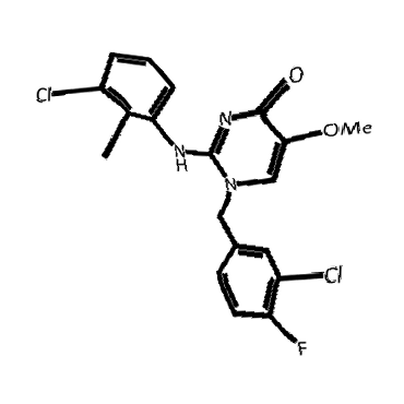 COc1cn(Cc2ccc(F)c(Cl)c2)c(Nc2cccc(Cl)c2C)nc1=O